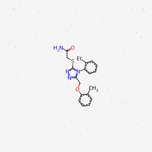 CCc1ccccc1-n1c(COc2ccccc2C)nnc1SCC(N)=O